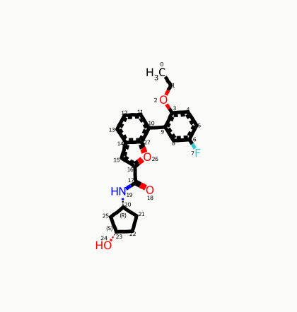 CCOc1ccc(F)cc1-c1cccc2cc(C(=O)N[C@@H]3CC[C@H](O)C3)oc12